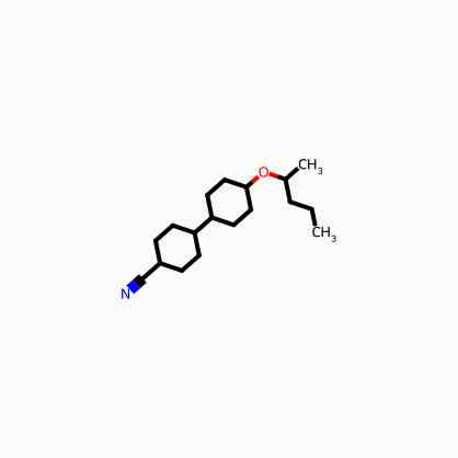 CCCC(C)OC1CCC(C2CCC(C#N)CC2)CC1